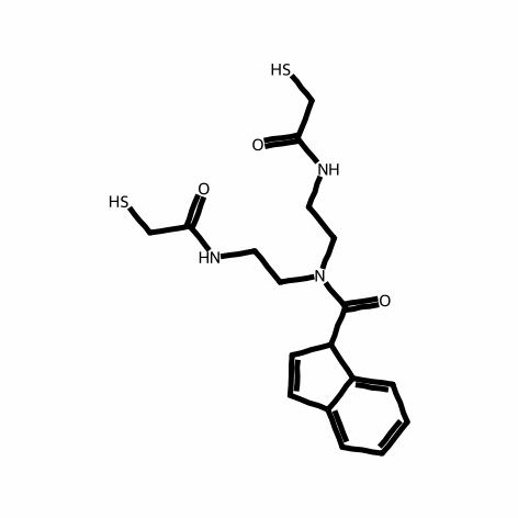 O=C(CS)NCCN(CCNC(=O)CS)C(=O)C1C=Cc2ccccc21